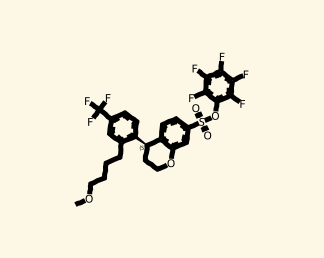 COCCCCc1cc(C(F)(F)F)ccc1[C@@H]1CCOc2cc(S(=O)(=O)Oc3c(F)c(F)c(F)c(F)c3F)ccc21